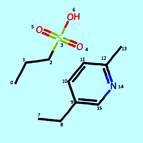 CCCS(=O)(=O)O.CCc1ccc(C)nc1